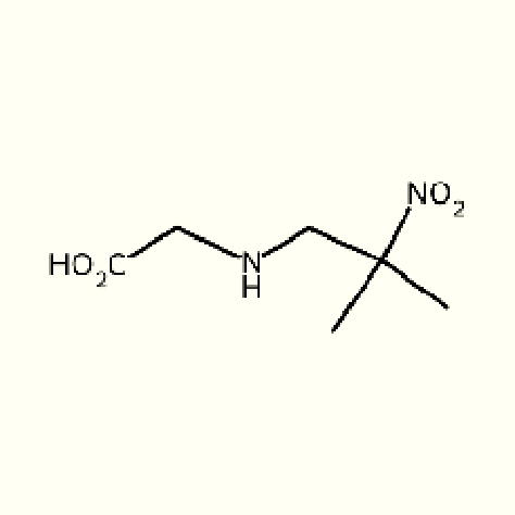 CC(C)(CNCC(=O)O)[N+](=O)[O-]